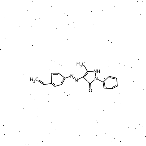 C=Cc1ccc(N=Nc2c(C)[nH]n(-c3ccccc3)c2=O)cc1